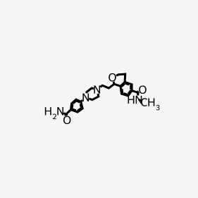 CNC(=O)c1ccc2c(c1)CCOC2CCN1CCN(c2ccc(C(N)=O)cc2)CC1